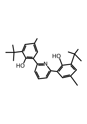 Cc1cc(-c2cccc(-c3cc(C)cc(C(C)(C)C)c3O)n2)c(O)c(C(C)(C)C)c1